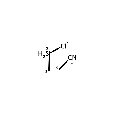 CC#N.C[SiH2]Cl